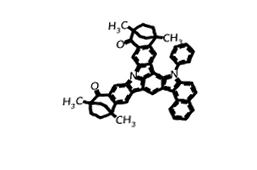 CC12CCC(C)(CC1)c1cc3c4cc5c6c7ccccc7ccc6n(-c6ccccc6)c5c5c6cc7c(cc6n(c3cc1C2=O)c45)C(=O)C1(C)CCC7(C)CC1